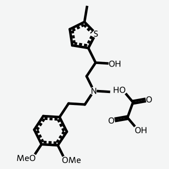 COc1ccc(CCN(C)CC(O)c2ccc(C)s2)cc1OC.O=C(O)C(=O)O